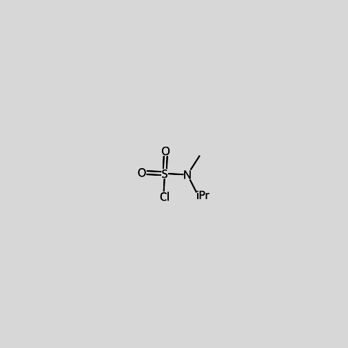 CC(C)N(C)S(=O)(=O)Cl